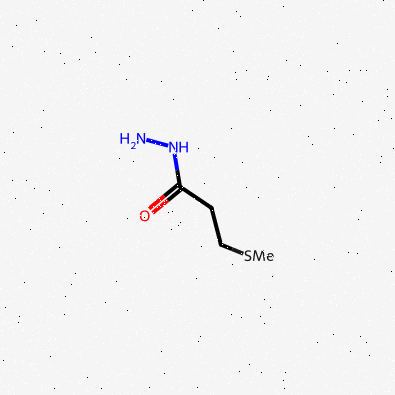 CSCCC(=O)NN